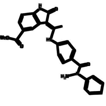 COC(=O)c1ccc2c(c1)C(=C(C)Nc1ccc(C(=O)N(N)c3ccccc3)cc1)C(=O)N2